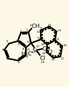 CC1=CC2=C(C=CC=CC2)C1(c1cccc2ccccc12)[Si](C)(C)Cl